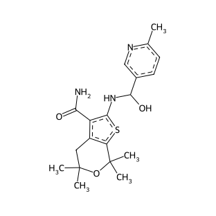 Cc1ccc(C(O)Nc2sc3c(c2C(N)=O)CC(C)(C)OC3(C)C)cn1